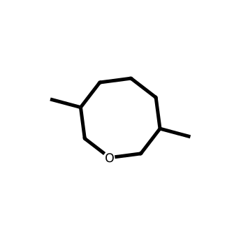 CC1CCCC(C)COC1